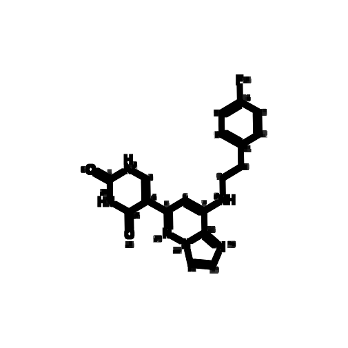 O=c1[nH]cc(-c2cc(NCCc3ccc(F)cc3)c3nccn3n2)c(=O)[nH]1